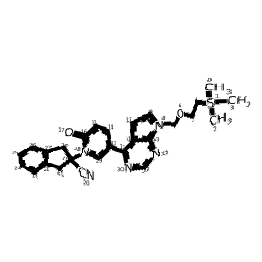 CS(C)(C)CCOCn1ccc2c(-c3ccc(=O)n(C4(C#N)Cc5ccccc5C4)c3)ncnc21